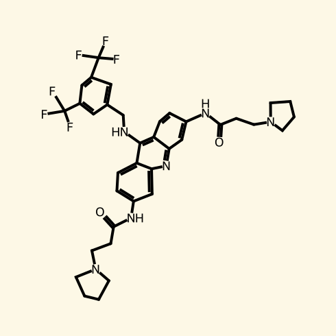 O=C(CCN1CCCC1)Nc1ccc2c(NCc3cc(C(F)(F)F)cc(C(F)(F)F)c3)c3ccc(NC(=O)CCN4CCCC4)cc3nc2c1